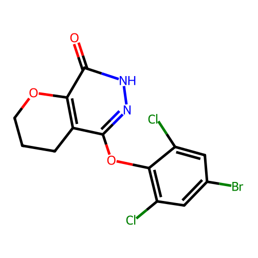 O=c1[nH]nc(Oc2c(Cl)cc(Br)cc2Cl)c2c1OCCC2